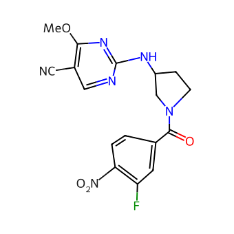 COc1nc(NC2CCN(C(=O)c3ccc([N+](=O)[O-])c(F)c3)C2)ncc1C#N